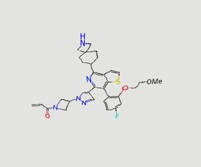 C=CC(=O)N1CC(n2cc(-c3nc(C4CCC5(CC4)CNC5)c4ccsc4c3-c3ccc(F)cc3OCCOC)cn2)C1